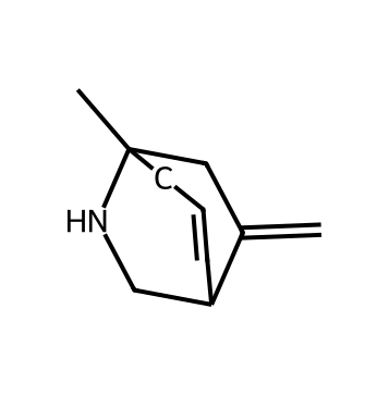 C=C1CC2(C)CC=CC1CN2